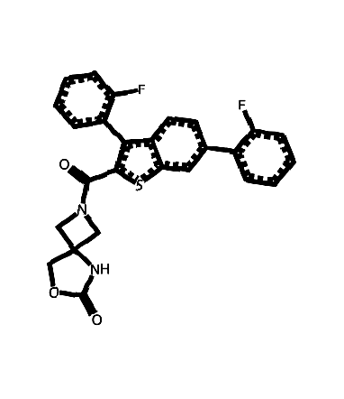 O=C1NC2(CO1)CN(C(=O)c1sc3cc(-c4ccccc4F)ccc3c1-c1ccccc1F)C2